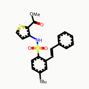 COC(=O)c1sccc1NS(=O)(=O)c1ccc(C(C)(C)C)cc1/C=C/c1ccccc1